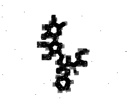 Cc1cn([C@H]2O[C@@H](CO[P@](=O)(N[C@@H](C)C(=O)OC(C)C)Oc3ccccc3)C(O)[C@H]2O)c(=O)[nH]c1=S